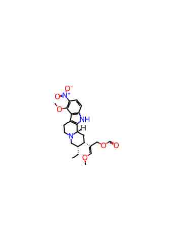 CC[C@@H]1CN2CCc3c([nH]c4ccc([N+](=O)[O-])c(OC)c34)[C@@H]2C[C@@H]1/C(=C\OC)COC=O